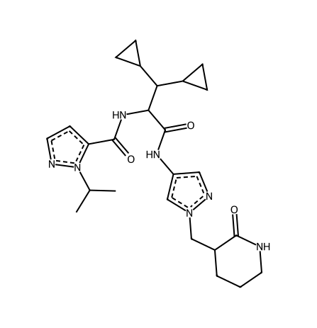 CC(C)n1nccc1C(=O)NC(C(=O)Nc1cnn(CC2CCCNC2=O)c1)C(C1CC1)C1CC1